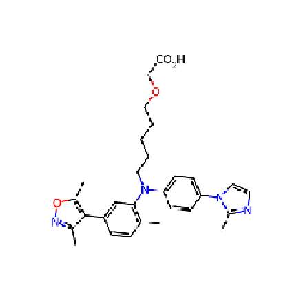 Cc1ccc(-c2c(C)noc2C)cc1N(CCCCCOCC(=O)O)c1ccc(-n2ccnc2C)cc1